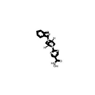 O=C(NO)c1cnc(N2C[C@@H]3C[C@H]2CN3c2noc3ccccc23)nc1